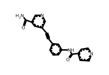 NC(=O)c1cncc(C#Cc2cccc(NC(=O)c3ccncc3)c2)c1